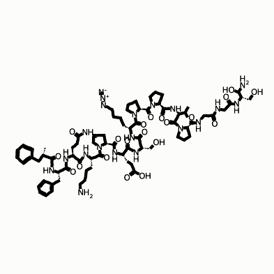 CC(C)[C@H](NC(=O)[C@@H]1CCCN1C(=O)[C@@H]1CCCN1C(=O)[C@@H](CCCCN=[N+]=[N-])NC(=O)[C@H](CO)NC(=O)[C@H](CCC(=O)O)NC(=O)[C@@H]1CCCN1C(=O)[C@H](CCCCN)NC(=O)[C@H](CCC(N)=O)NC(=O)[C@H](Cc1ccccc1)NC(=O)[C@@H](C)Cc1ccccc1)C(=O)N1CCC[C@H]1C(=O)NCC(=O)NCC(=O)N[C@@H](CO)C(N)O